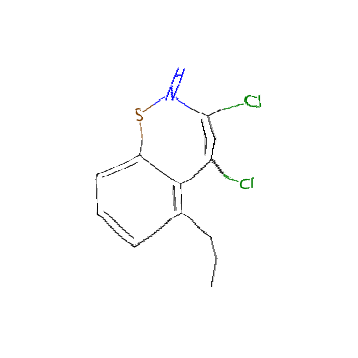 CCc1cccc2c1C(Cl)=C(Cl)NS2